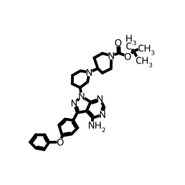 CC(C)(C)OC(=O)N1CCC(N2CCCC(n3nc(-c4ccc(Oc5ccccc5)cc4)c4c(N)ncnc43)C2)CC1